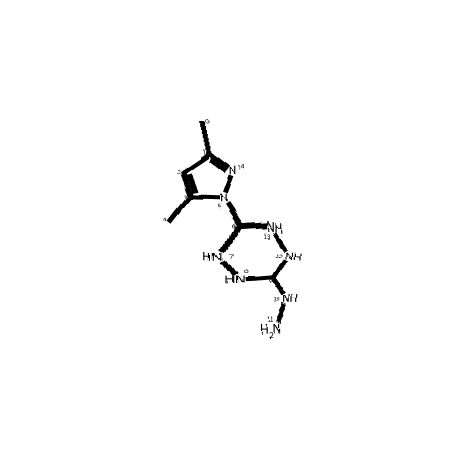 Cc1cc(C)n(C2NNC(NN)NN2)n1